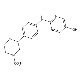 O=C(O)N1CCOC(c2ccc(Nc3ncc(O)cn3)cc2)C1